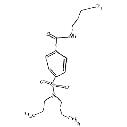 CCCCNC(=O)c1ccc(S(=O)(=O)N(CCC)CCC)cc1